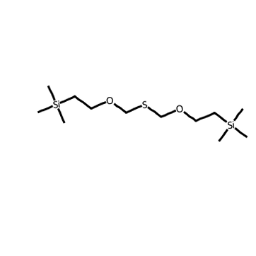 C[Si](C)(C)CCOCSCOCC[Si](C)(C)C